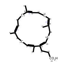 C/C1=C/CC/C(C)=C/CC/C(C)=C/CC/C=C(\C)CCC=C1CCC(=O)O